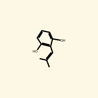 CC(C)=Cc1c(O)cccc1O